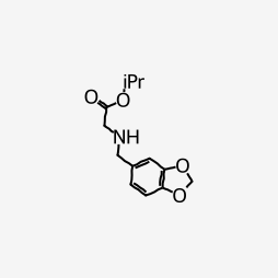 CC(C)OC(=O)CNCc1ccc2c(c1)OCO2